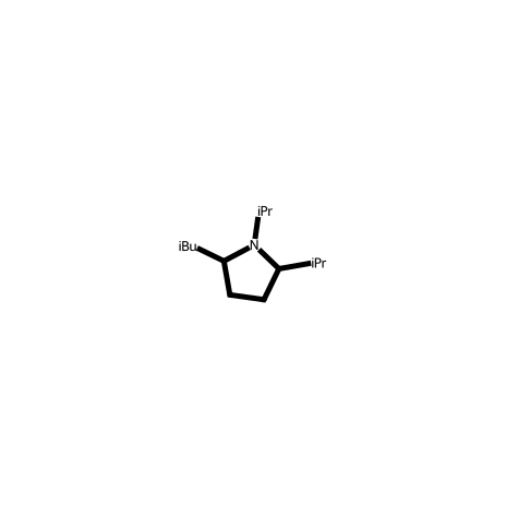 CCC(C)C1CCC(C(C)C)N1C(C)C